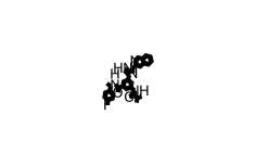 CC(C)C(=O)Nc1cc(C(=O)NC(C)c2ccc(F)cc2)cc(-c2c[nH]c(-c3cc4ccccc4cn3)n2)c1